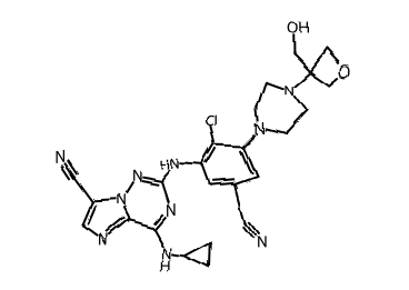 N#Cc1cc(Nc2nc(NC3CC3)c3ncc(C#N)n3n2)c(Cl)c(N2CCN(C3(CO)COC3)CC2)c1